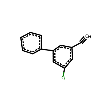 C#Cc1cc(Cl)cc(-c2ccccc2)c1